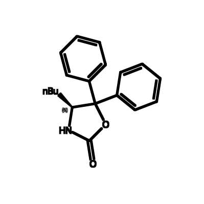 CCCC[C@@H]1NC(=O)OC1(c1ccccc1)c1ccccc1